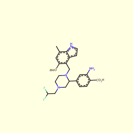 COc1cc(C)c2[nH]ccc2c1CN1CCN(CC(F)F)CC1c1ccc(C(=O)O)c(N)c1